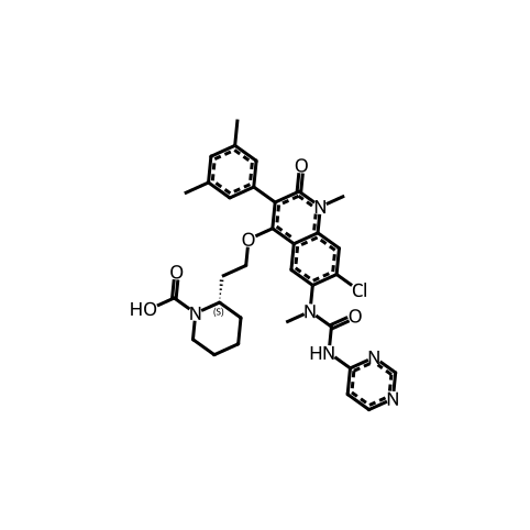 Cc1cc(C)cc(-c2c(OCC[C@@H]3CCCCN3C(=O)O)c3cc(N(C)C(=O)Nc4ccncn4)c(Cl)cc3n(C)c2=O)c1